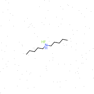 CCCCCNCCCCC.F